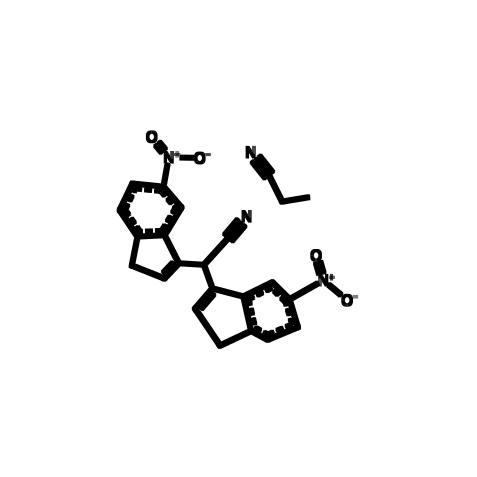 CCC#N.N#CC(C1=CCc2ccc([N+](=O)[O-])cc21)C1=CCc2ccc([N+](=O)[O-])cc21